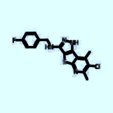 Cc1nc2sc3c(NCc4ccc(F)cc4)n[nH]c3c2c(C)c1Cl